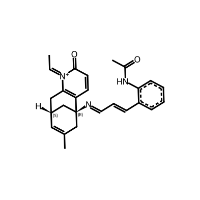 CC=[N+]1C(=O)C=CC2=C1C[C@H]1C=C(C)C[C@]2(N=CC=Cc2ccccc2NC(C)=O)C1